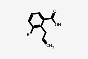 C=CCc1c(Br)cccc1C(=O)O